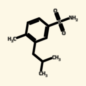 Cc1ccc(S(N)(=O)=O)cc1CC(C)C